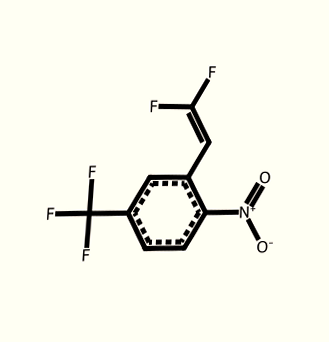 O=[N+]([O-])c1ccc(C(F)(F)F)cc1C=C(F)F